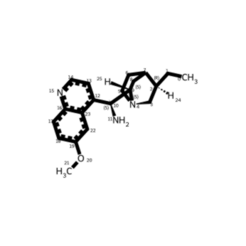 CC[C@H]1C[N@@]2CCC1C[C@H]2[C@@H](N)c1ccnc2ccc(OC)cc12